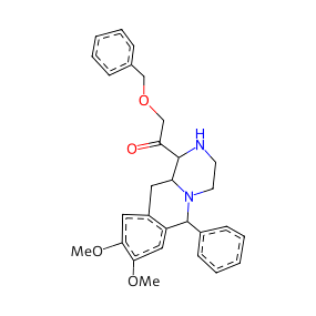 COc1cc2c(cc1OC)C(c1ccccc1)N1CCNC(C(=O)COCc3ccccc3)C1C2